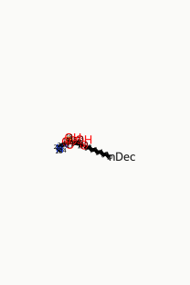 CCCCCCCCCCCCCCCCCCCOCC(O)COP(=O)(O)OCC[N+](C)(C)C